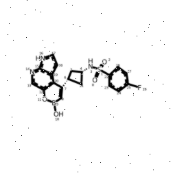 O=S(=O)(N[C@H]1C[C@@H](C2=CB(O)Oc3cnc4[nH]ccc4c32)C1)c1ccc(F)cc1